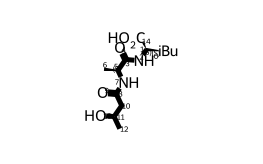 CC[C@H](C)[C@H](NC(=O)[C@H](C)NC(=O)CC(C)O)C(=O)O